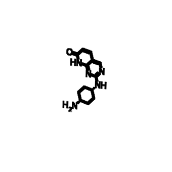 N[C@H]1CC[C@H](Nc2ncc3ccc(=O)[nH]c3n2)CC1